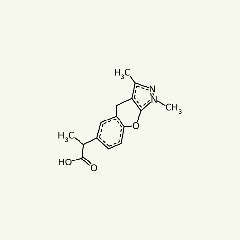 Cc1nn(C)c2c1Cc1cc(C(C)C(=O)O)ccc1O2